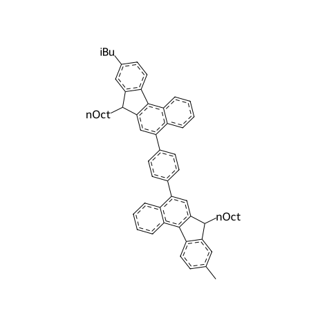 CCCCCCCCC1c2cc(C)ccc2-c2c1cc(-c1ccc(-c3cc4c(c5ccccc35)-c3ccc(C(C)CC)cc3C4CCCCCCCC)cc1)c1ccccc21